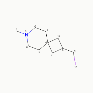 CN1CCC2(CC1)CC(CI)C2